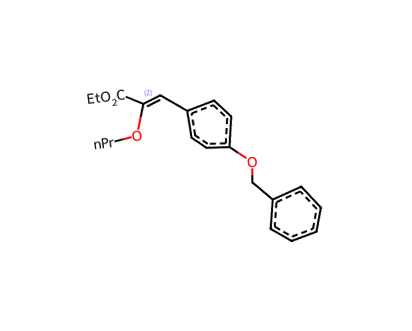 CCCO/C(=C\c1ccc(OCc2ccccc2)cc1)C(=O)OCC